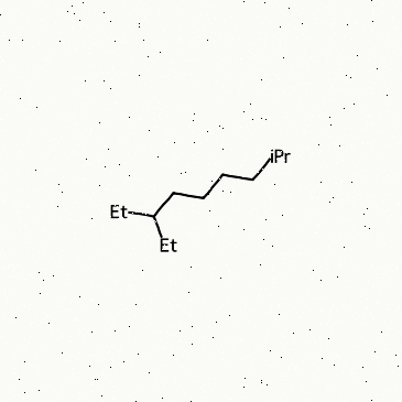 CCC(CC)CCCCC(C)C